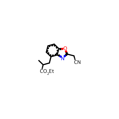 CCOC(=O)C(C)Cc1cccc2oc(CC#N)nc12